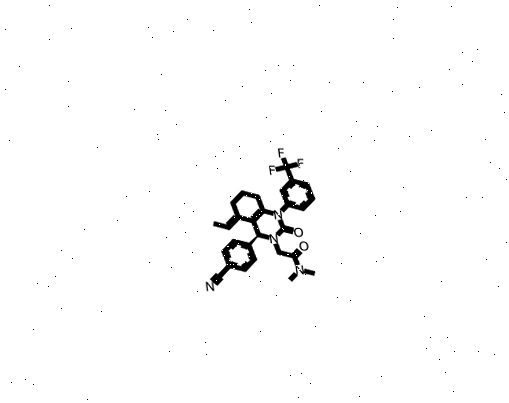 CC=C1CCCC2=C1[C@H](c1ccc(C#N)cc1)N(CC(=O)N(C)C)C(=O)N2c1cccc(C(F)(F)F)c1